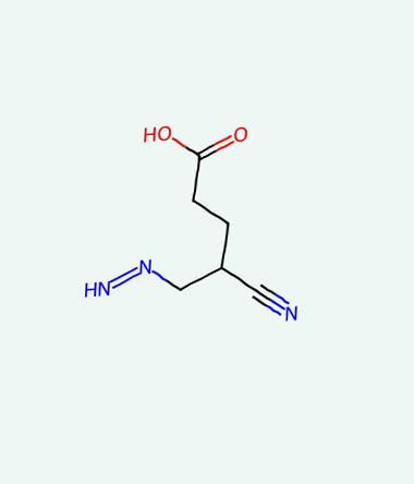 N#CC(CCC(=O)O)CN=N